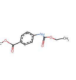 CCOC(=O)Nc1ccc(C(=O)OC)cc1